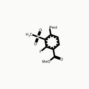 CCCC(C)c1ccc(C(=O)OC)c(F)c1S(C)(=O)=O